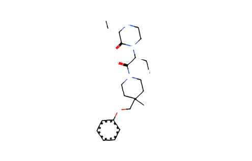 CC(C)C[C@@H]1NCCN([C@@H](CC(C)C)C(=O)N2CCC(C)(COc3ccccc3)CC2)C1=O